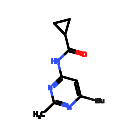 Cc1nc(NC(=O)C2CC2)cc(C(C)(C)C)n1